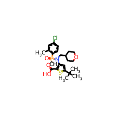 Cc1cc(Cl)ccc1P(C)(=O)N(CC1CCOCC1)c1cc(C(C)(C)C)sc1C(=O)O